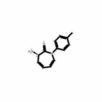 Cc1ccc(N2C=CC=C[C@@H](N)C2=O)cc1